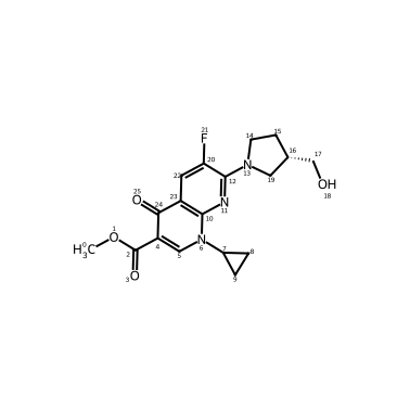 COC(=O)c1cn(C2CC2)c2nc(N3CC[C@H](CO)C3)c(F)cc2c1=O